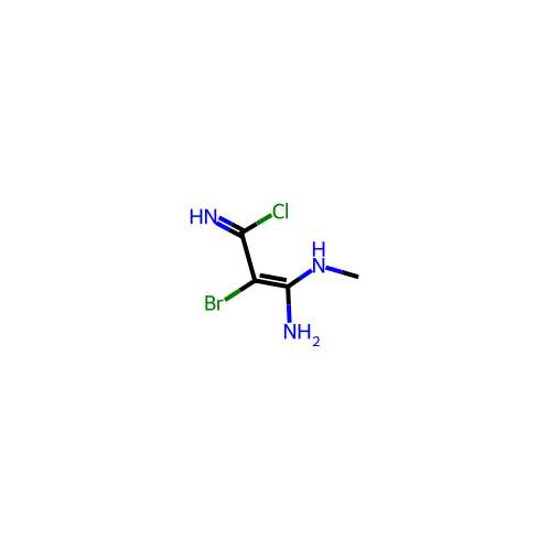 CN/C(N)=C(/Br)C(=N)Cl